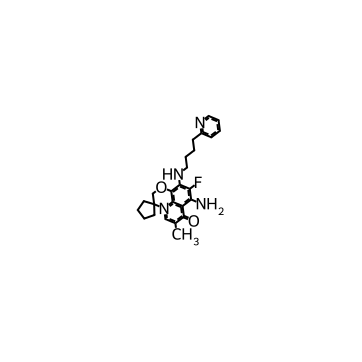 Cc1cn2c3c(c(NCCCCc4ccccn4)c(F)c(N)c3c1=O)OCC21CCCC1